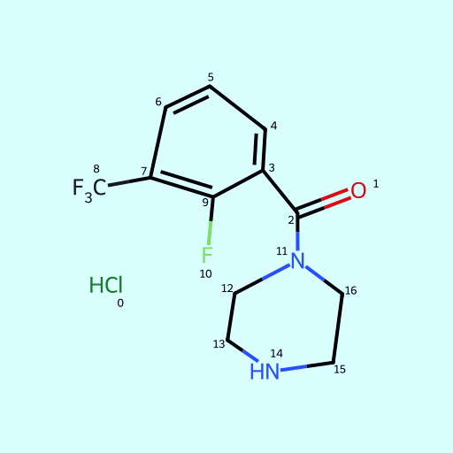 Cl.O=C(c1cccc(C(F)(F)F)c1F)N1CCNCC1